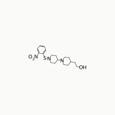 O=[N+]([O-])c1ccccc1SN1CCC(N2CCC(CCO)CC2)CC1